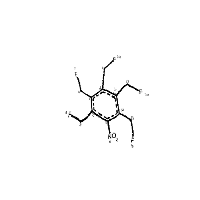 O=[N+]([O-])c1c(CF)c(CF)c(CF)c(CF)c1CF